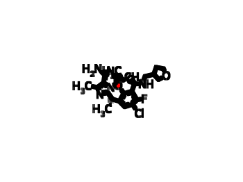 Cc1nc([C@@H](C)c2cc(Cl)c(F)c(C(=O)NCC3CCOC3)c2OC(C)C)n2ccnc(N)c12